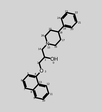 OC(COc1cccc2ccccc12)CN1CCC(c2ccccc2)CC1